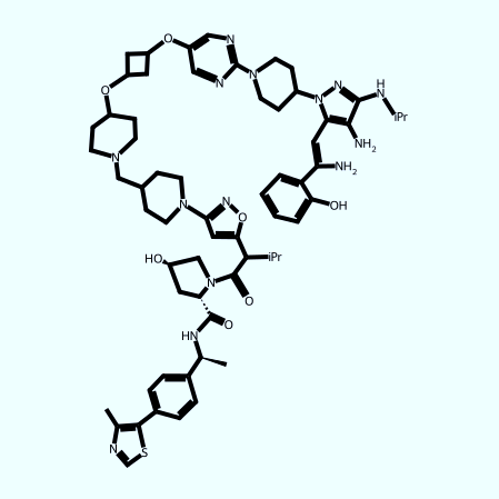 Cc1ncsc1-c1ccc([C@H](C)NC(=O)[C@@H]2C[C@@H](O)CN2C(=O)C(c2cc(N3CCC(CN4CCC(OC5CC(Oc6cnc(N7CCC(n8nc(NC(C)C)c(N)c8/C=C(\N)c8ccccc8O)CC7)nc6)C5)CC4)CC3)no2)C(C)C)cc1